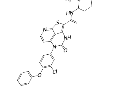 C=C(NC1CCCCC1N)c1sc2nccc3c2c1NC(=O)N3c1ccc(Oc2ccccc2)c(Cl)c1